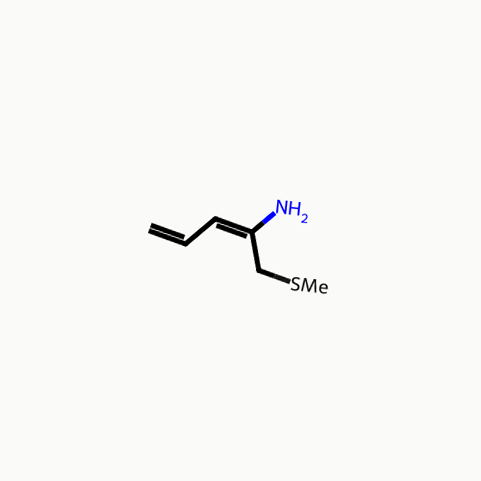 C=C/C=C(/N)CSC